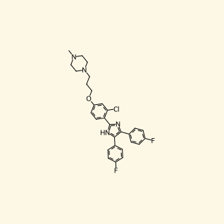 CN1CCN(CCCOc2ccc(-c3nc(-c4ccc(F)cc4)c(-c4ccc(F)cc4)[nH]3)c(Cl)c2)CC1